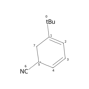 CC(C)(C)C1=CC=C[C](C#N)C1